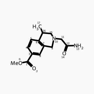 COC(=O)c1ccc2c(c1)CN(CC(N)=O)CC2C